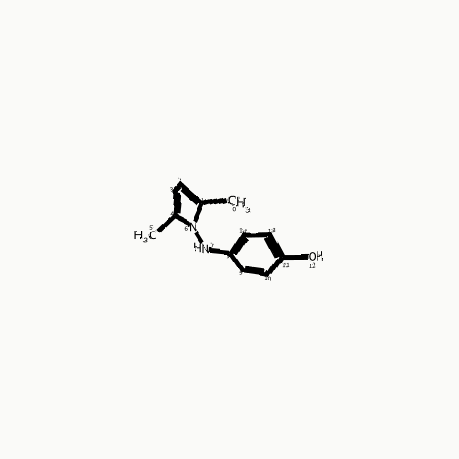 Cc1ccc(C)n1Nc1ccc(O)cc1